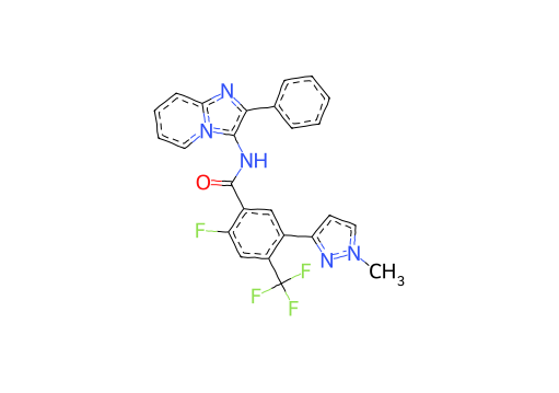 Cn1ccc(-c2cc(C(=O)Nc3c(-c4ccccc4)nc4ccccn34)c(F)cc2C(F)(F)F)n1